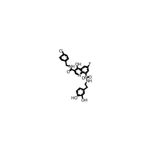 O=C(NCc1ccc(Cl)cc1)c1cnc2c(S(=O)(=O)NCCc3ccc(O)c(O)c3)cc(F)cc2c1O